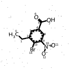 CCc1cc(C(=O)O)cc([N+](=O)[O-])c1Br